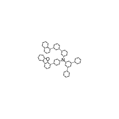 c1ccc(-c2cc(-c3ccccc3)cc(N(c3ccc(-c4cccc5c4oc4ccccc45)cc3)c3cccc(-c4cccc(-c5cccc6ccccc56)c4)c3)c2)cc1